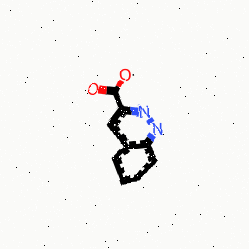 [O]C(=O)c1cc2ccccc2nn1